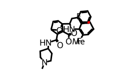 COC(=O)C1=C(C(=O)NC2CCN(C)CC2)C2C=CC1(C(Cc1ccccc1)Nc1c(F)cccc1F)O2